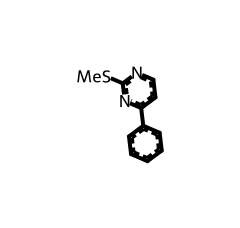 CSc1nccc(-c2ccccc2)n1